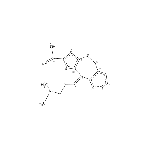 CN(C)CCC=C1c2ccccc2CCc2sc(C(=O)O)cc21